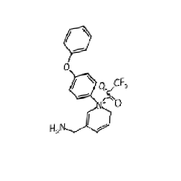 NCC1=C[N+](c2ccc(Oc3ccccc3)cc2)(S(=O)(=O)C(F)(F)F)CC=C1